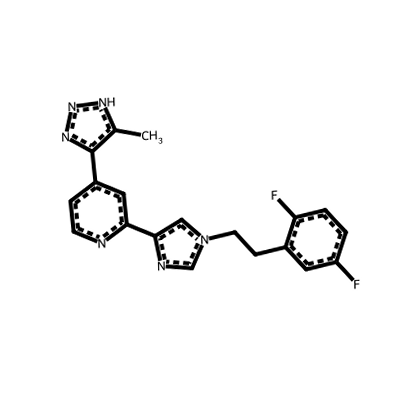 Cc1[nH]nnc1-c1ccnc(-c2cn(CCc3cc(F)ccc3F)cn2)c1